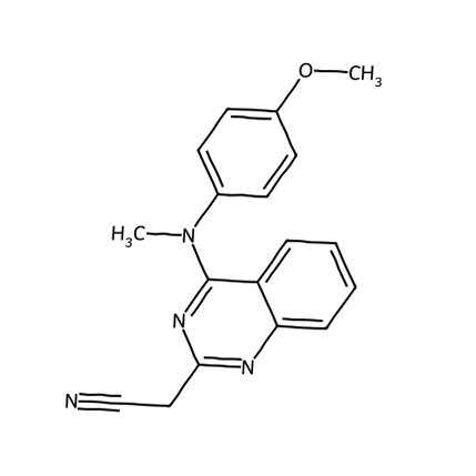 COc1ccc(N(C)c2nc(CC#N)nc3ccccc23)cc1